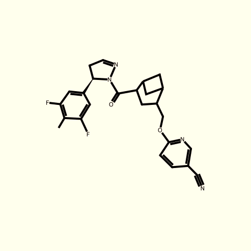 Cc1c(F)cc([C@H]2CC=NN2C(=O)C2CC(COc3ccc(C#N)cn3)C3CC2C3)cc1F